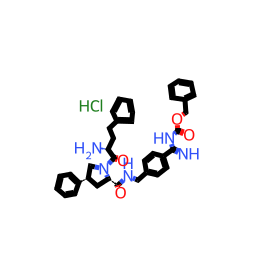 Cl.N=C(NC(=O)OCc1ccccc1)c1ccc(CNC(=O)[C@@H]2C[C@H](c3ccccc3)CN2C(=O)[C@H](N)CCc2ccccc2)cc1